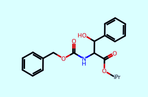 CC(C)OC(=O)C(NC(=O)OCc1ccccc1)C(O)c1ccccc1